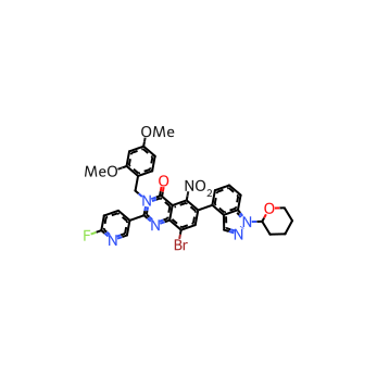 COc1ccc(Cn2c(-c3ccc(F)nc3)nc3c(Br)cc(-c4cccc5c4cnn5C4CCCCO4)c([N+](=O)[O-])c3c2=O)c(OC)c1